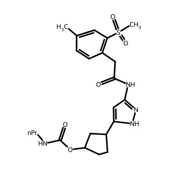 CCCNC(=O)OC1CCC(c2cc(NC(=O)Cc3ccc(C)cc3S(C)(=O)=O)n[nH]2)C1